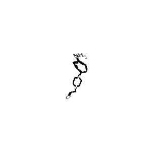 Nc1ccc(N2CCN(CC=O)CC2)cc1